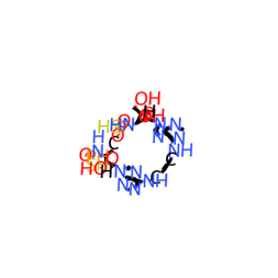 O=[PH](S)N[C@@H]1C2COP(=O)(S)NC3C(CO)OC([C@@H]3O)n3cnc4c(ncnc43)NC/C=C/CNc3ncnc4c3ncn4[C@H](O2)[C@@H]1O